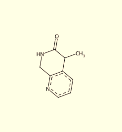 CC1C(=O)NCc2ncccc21